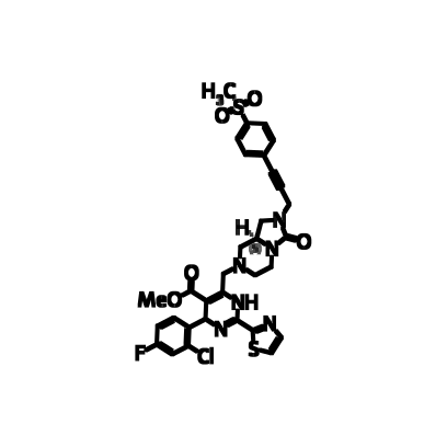 COC(=O)C1=C(CN2CCN3C(=O)N(CC#Cc4ccc(S(C)(=O)=O)cc4)C[C@@H]3C2)NC(c2nccs2)=NC1c1ccc(F)cc1Cl